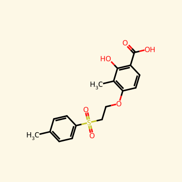 Cc1ccc(S(=O)(=O)CCOc2ccc(C(=O)O)c(O)c2C)cc1